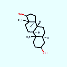 C[C@]12CC[C@H](O)C[C@@H]1CC[C@@H]1[C@@H]2CC[C@]2(C)[C@@H](O)CC[C@@H]12